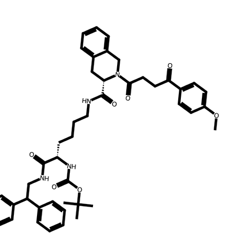 COc1ccc(C(=O)CCC(=O)N2Cc3ccccc3C[C@H]2C(=O)NCCCC[C@H](NC(=O)OC(C)(C)C)C(=O)NCC(c2ccccc2)c2ccccc2)cc1